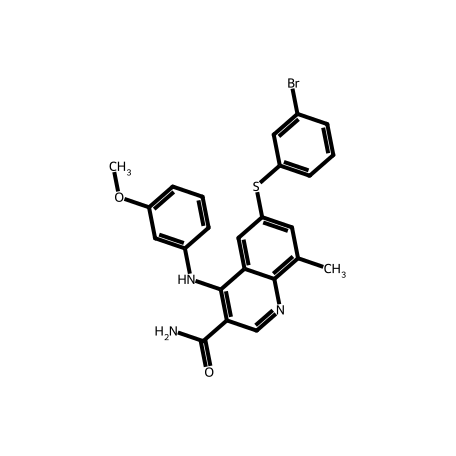 COc1cccc(Nc2c(C(N)=O)cnc3c(C)cc(Sc4cccc(Br)c4)cc23)c1